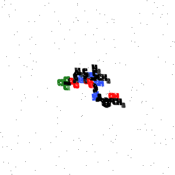 CC(C)C(NC(=O)CCn1cc(-c2cccc([C@@H](C)O)c2)cn1)C(=O)N[C@@H](C)C(=O)N1CCC[C@@H](C(=O)OCC(Cl)(Cl)Cl)N1